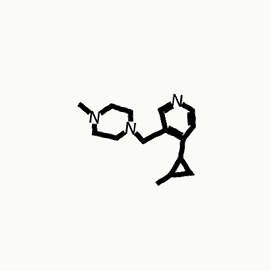 CC1CC1c1ccncc1CN1CCN(C)CC1